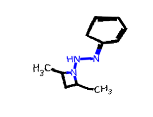 CC1CC(C)N1N/N=C1/C=CC=CC1